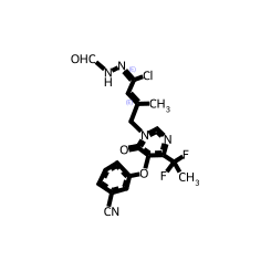 C/C(=C\C(Cl)=N/NC=O)Cn1cnc(C(C)(F)F)c(Oc2cccc(C#N)c2)c1=O